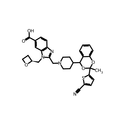 CC1(c2ccc(C#N)s2)Oc2ccccc2C(C2CCN(Cc3nc4ccc(C(=O)O)cc4n3C[C@@H]3CCO3)CC2)O1